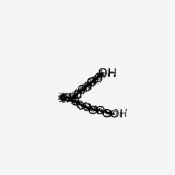 OCCOCCOCCOCCOCCOCCOCC(COc1ccccc1)OCCOCCOCCOCCOCCOCCO